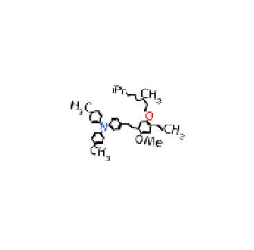 CC=Cc1cc(OC)c(C=Cc2ccc(N(c3ccc(C)cc3)c3ccc(C)cc3)cc2)cc1OCCC(C)CCCC(C)C